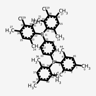 Cc1cc(C)c(B(c2ccc(B(c3c(C)cc(C)c(Cl)c3C)c3c(C)cc(C)c(Cl)c3C)cc2)c2c(C)cc(C)cc2C)c(C)c1